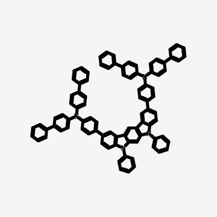 c1ccc(-c2ccc(N(c3ccc(-c4ccccc4)cc3)c3ccc(-c4ccc5c(c4)c4cc6c7cc(-c8ccc(N(c9ccc(-c%10ccccc%10)cc9)c9ccc(-c%10ccccc%10)cc9)cc8)ccc7n(-c7ccccc7)c6cc4n5-c4ccccc4)cc3)cc2)cc1